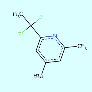 CC(C)(C)c1cc(C(C)(F)F)nc(C(F)(F)F)c1